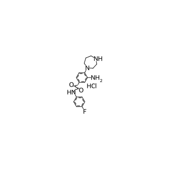 Cl.Nc1cc(S(=O)(=O)Nc2ccc(F)cc2)ccc1N1CCCNCC1